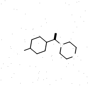 O=C(O)C1CCC(C(=O)N2CCOCC2)CC1